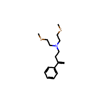 C=C(CCN(CCSC)CCSC)c1ccccc1